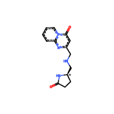 O=C1CC[C@H](CNCc2cc(=O)n3ccccc3n2)N1